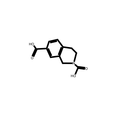 O=C(O)c1ccc2c(c1)CN(C(=O)O)CC2